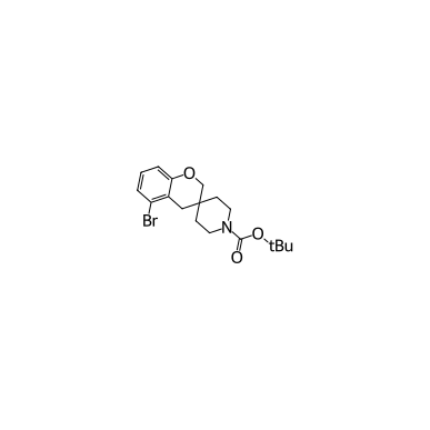 CC(C)(C)OC(=O)N1CCC2(CC1)COc1cccc(Br)c1C2